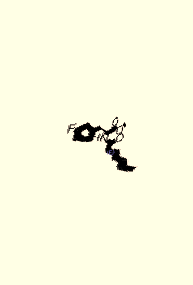 CCCC/C=C/C(=O)N[C@@H](Cc1cccc(F)c1)C(=O)OC